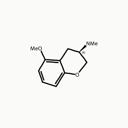 CN[C@H]1COc2cccc(OC)c2C1